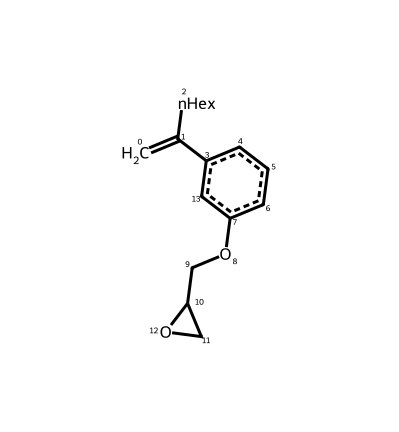 C=C(CCCCCC)c1cccc(OCC2CO2)c1